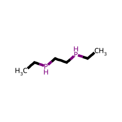 CCPCCPCC